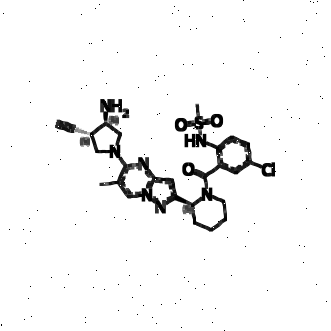 C#C[C@H]1CN(c2nc3cc([C@@H]4CCCCN4C(=O)c4cc(Cl)ccc4NS(C)(=O)=O)nn3cc2C)C[C@@H]1N